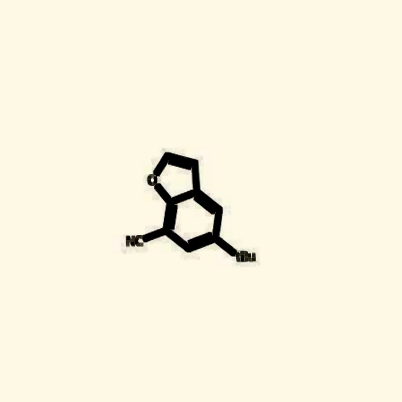 CC(C)(C)c1cc(C#N)c2occc2c1